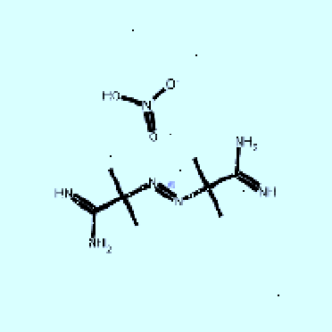 CC(C)(/N=N/C(C)(C)C(=N)N)C(=N)N.O=[N+]([O-])O